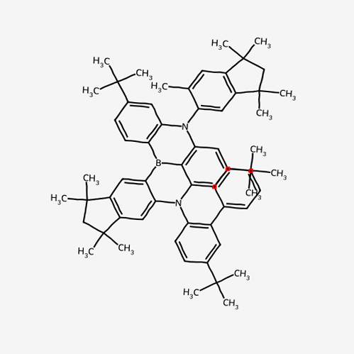 Cc1cc2c(cc1N1c3cc(C(C)(C)C)ccc3B3c4cc5c(cc4N(c4ccc(C(C)(C)C)cc4-c4ccccc4)c4cc(C(C)(C)C)cc1c43)C(C)(C)CC5(C)C)C(C)(C)CC2(C)C